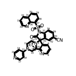 CCOc1ncccc1C1(N2CCN(c3ccncc3)CC2)C(=O)N(S(=O)(=O)c2cccc3cccnc23)c2ccc(C#N)cc21